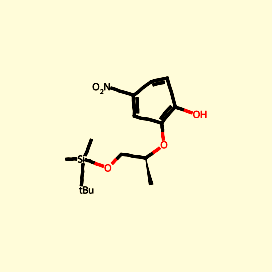 C[C@@H](CO[Si](C)(C)C(C)(C)C)Oc1cc([N+](=O)[O-])ccc1O